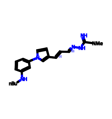 CCCCNc1cccc(-n2ccc(/C=C/C=N/NC(=N)NC)c2)c1